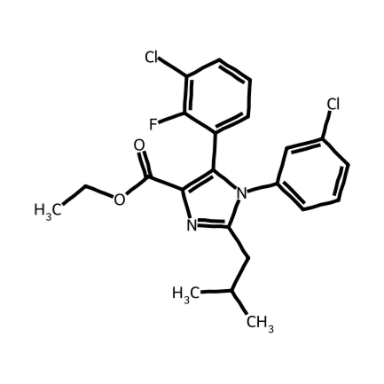 CCOC(=O)c1nc(CC(C)C)n(-c2cccc(Cl)c2)c1-c1cccc(Cl)c1F